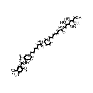 COc1cc(N)c(Cl)cc1C(=O)N[C@@H]1CCN(CCCCCC(=O)N[C@@H]2CCCN(CCCCCC(=O)NC[C@H](O)[C@@H](O)[C@H](O)[C@H](O)CO)C2)C[C@@H]1OC